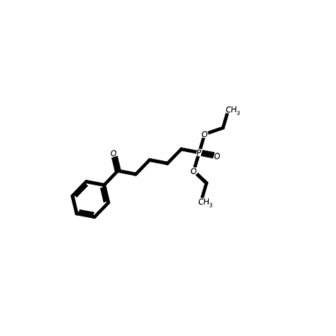 CCOP(=O)(CCCCC(=O)c1ccccc1)OCC